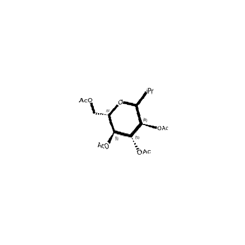 CC(=O)OC[C@@H]1OC(C(C)C)[C@@H](OC(C)=O)[C@H](OC(C)=O)[C@H]1OC(C)=O